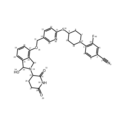 N#Cc1ccc(N2CCC(Sc3ccc(COc4cccc5c4CN(C4CCC(=O)NC4=O)C5O)cn3)CC2)c(F)c1